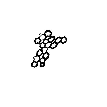 c1ccc2c(c1)Sc1ccccc1C21c2ccccc2-c2ccc(N(c3ccc4c(ccc5ccccc54)c3)c3cccc4c3-c3ccccc3C43c4ccccc4Sc4ccccc43)cc21